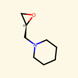 C1CCN(C[C@H]2CO2)CC1